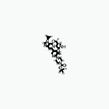 C[C@@H](Oc1nc(-c2cnc(N3CCN(C(=O)OC(C)(C)C)CC3)c(F)c2)cc2ncn(C3CC3)c12)[C@H]1CNC(=O)C1